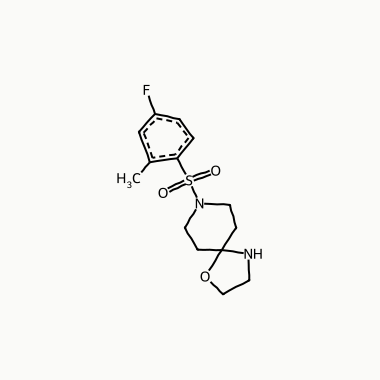 Cc1cc(F)ccc1S(=O)(=O)N1CCC2(CC1)NCCO2